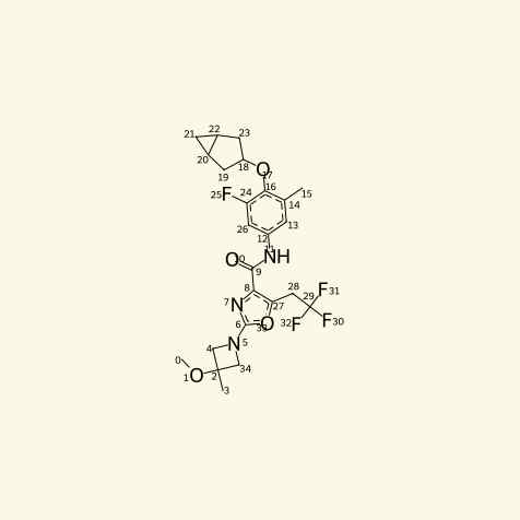 COC1(C)CN(c2nc(C(=O)Nc3cc(C)c(OC4CC5CC5C4)c(F)c3)c(CC(F)(F)F)o2)C1